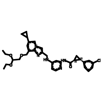 CCOC(COCc1cc(C2CC2)cn2cc(CNc3ccnc(NC(=O)[C@H]4C[C@@H]4c4cccc(Cl)c4)c3)nc12)OCC